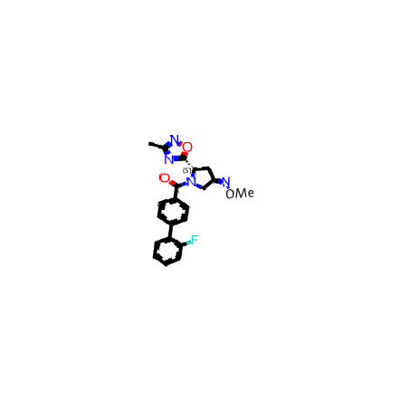 CON=C1C[C@@H](c2nc(C)no2)N(C(=O)c2ccc(-c3ccccc3F)cc2)C1